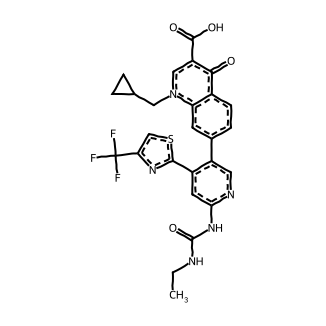 CCNC(=O)Nc1cc(-c2nc(C(F)(F)F)cs2)c(-c2ccc3c(=O)c(C(=O)O)cn(CC4CC4)c3c2)cn1